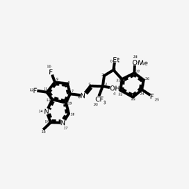 CCC(CC(O)(/C=N/c1cc(F)c(F)c2nc(C)ncc12)C(F)(F)F)c1ccc(F)cc1OC